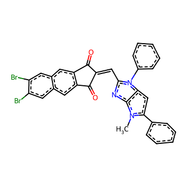 Cn1c(-c2ccccc2)cc2c1nc(C=C1C(=O)c3cc4cc(Br)c(Br)cc4cc3C1=O)n2-c1ccccc1